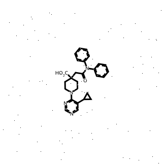 O=C(CC1(C(=O)O)CCN(c2ncncc2C2CC2)CC1)N(c1ccccc1)c1ccccc1